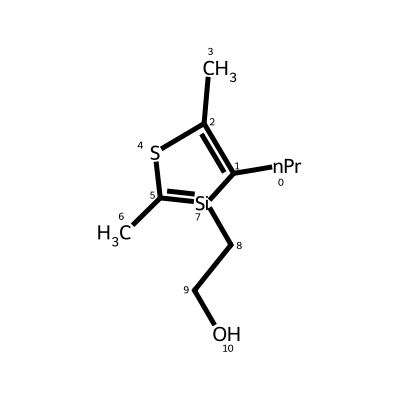 CCCc1c(C)sc(C)[si]1CCO